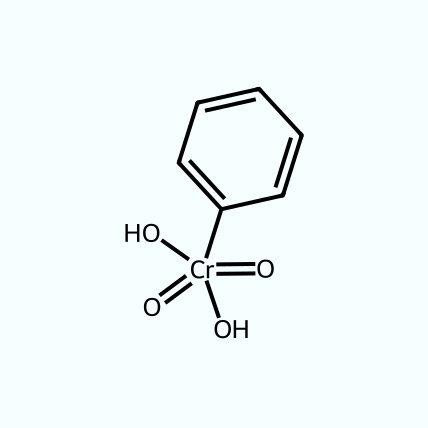 [O]=[Cr](=[O])([OH])([OH])[c]1ccccc1